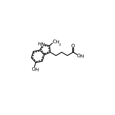 Cc1[nH]c2ccc(O)cc2c1CCCC(=O)O